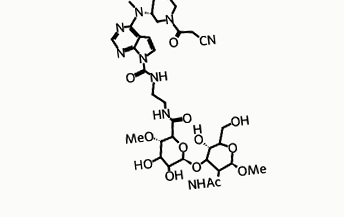 CO[C@@H]1OC(CO)[C@@H](O)C(O[C@@H]2OC(C(=O)NCCNC(=O)n3ccc4c(N(C)[C@H]5CN(C(=O)CC#N)CC[C@H]5C)ncnc43)[C@@H](OC)C(O)C2O)C1NC(C)=O